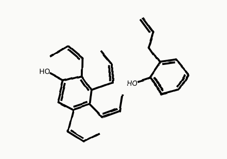 C/C=C\c1cc(O)c(/C=C\C)c(/C=C\C)c1/C=C\C.C=CCc1ccccc1O